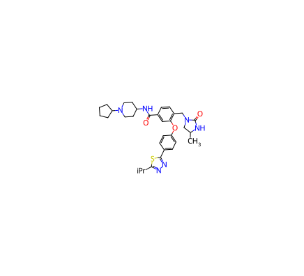 CC1CN(Cc2ccc(C(=O)NC3CCN(C4CCCC4)CC3)cc2Oc2ccc(-c3nnc(C(C)C)s3)cc2)C(=O)N1